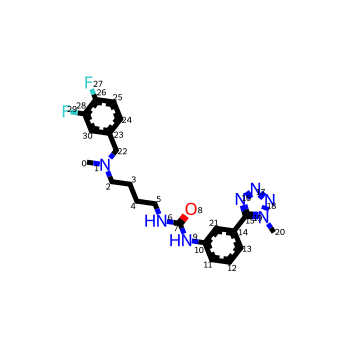 CN(CCCCNC(=O)Nc1cccc(-c2nnnn2C)c1)Cc1ccc(F)c(F)c1